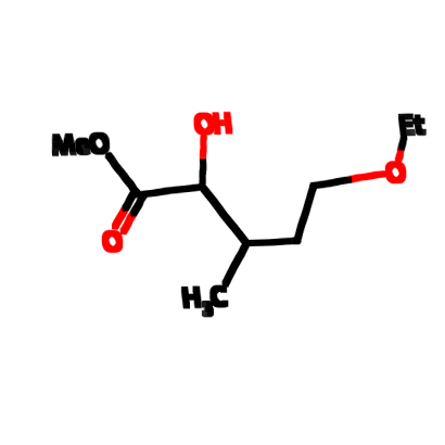 CCOCCC(C)C(O)C(=O)OC